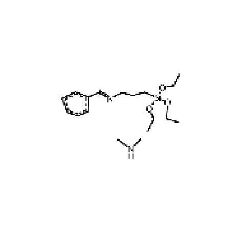 CCO[Si](CCCN=Cc1ccccc1)(OCC)OCC.CNC